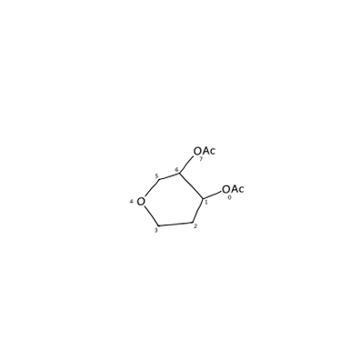 CC(=O)OC1CCOCC1OC(C)=O